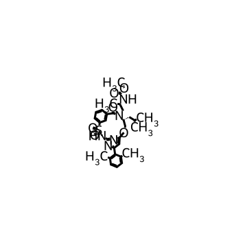 COC(=O)NC(C)CN1C(=O)c2cccc(c2)S(=O)(=O)Nc2nc(cc(-c3c(C)cccc3C)n2)OC[C@H]1CC(C)C